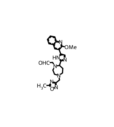 COc1nc2ccccc2cc1-c1cnc(C2CCN(Cc3noc(C)n3)CCN2CC=O)[nH]1